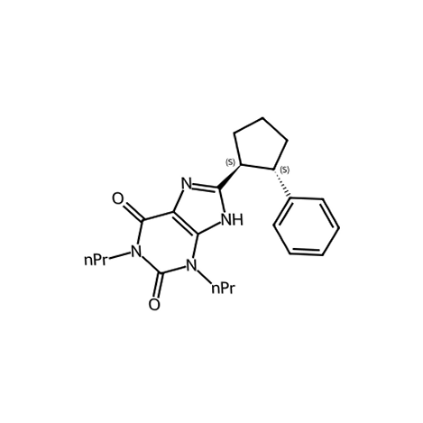 CCCn1c(=O)c2nc([C@H]3CCC[C@@H]3c3ccccc3)[nH]c2n(CCC)c1=O